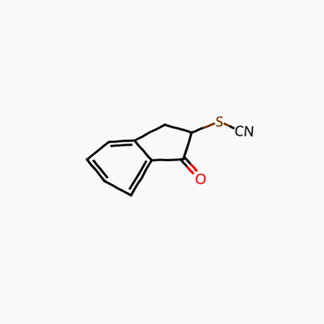 N#CSC1Cc2ccccc2C1=O